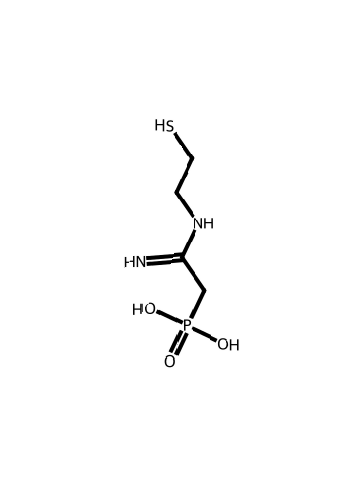 N=C(CP(=O)(O)O)NCCS